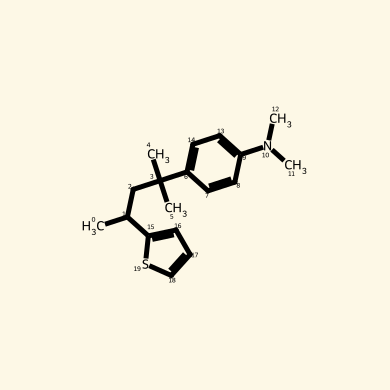 CC(CC(C)(C)c1ccc(N(C)C)cc1)c1cccs1